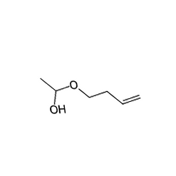 C=CCCOC(C)O